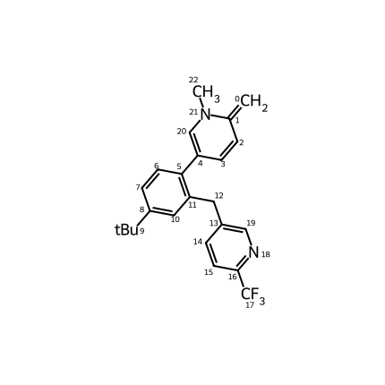 C=C1C=CC(c2ccc(C(C)(C)C)cc2Cc2ccc(C(F)(F)F)nc2)=CN1C